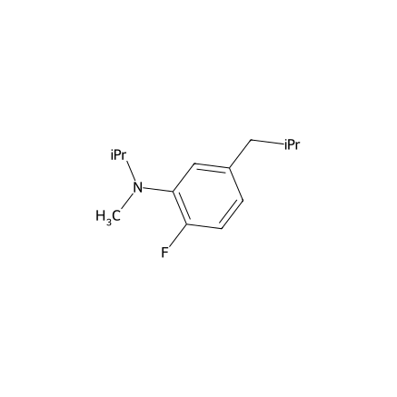 CC(C)Cc1ccc(F)c(N(C)C(C)C)c1